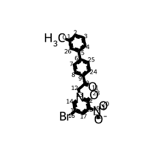 Cc1cccc(-c2ccc(C(=O)Cn3cc(Br)cc([N+](=O)[O-])c3=O)cc2)c1